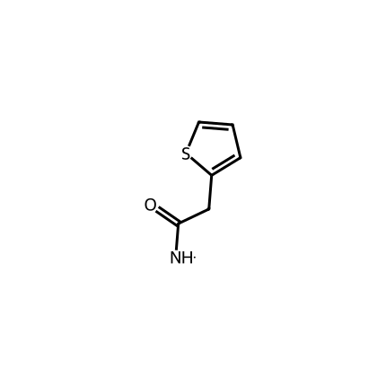 [NH]C(=O)Cc1cccs1